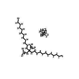 CCCCCCCCCCCCC(CCCCCCCCCCCC)(CN(C)C)N(C)C.Cl.Cl.N.N